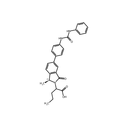 CCCC(C(=O)O)N1C(=O)c2cc(-c3ccc(NC(=O)Nc4ccccc4)cc3)ccc2[C@@H]1C